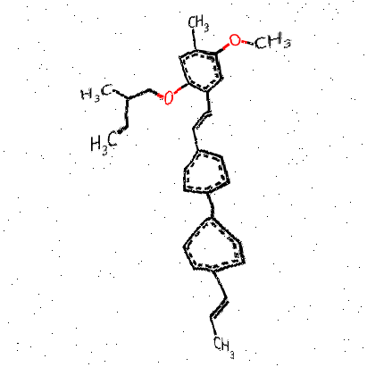 C/C=C/c1ccc(-c2ccc(/C=C/c3cc(OC)c(C)cc3OCC(C)CC)cc2)cc1